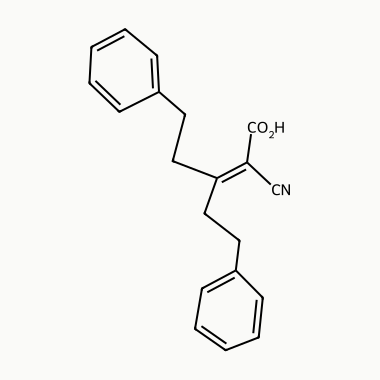 N#CC(C(=O)O)=C(CCc1ccccc1)CCc1ccccc1